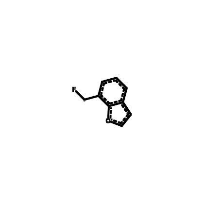 F[CH]c1cccc2ccoc12